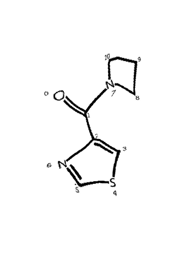 O=C(c1cs[c]n1)N1CCC1